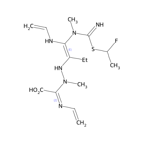 C=C/N=C(/C(=O)O)N(C)N/C(CC)=C(\NC=C)N(C)C(=N)SC(C)F